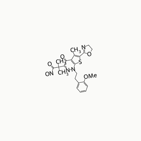 COc1ccccc1CCn1nc(C(C)(C)C(=O)N=O)c(=O)c2c(C)c(C3=NCCO3)sc21